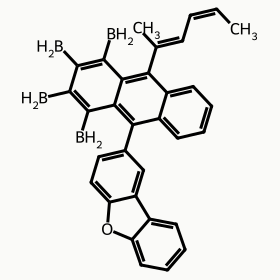 Bc1c(B)c(B)c2c(-c3ccc4oc5ccccc5c4c3)c3ccccc3c(/C(C)=C/C=C\C)c2c1B